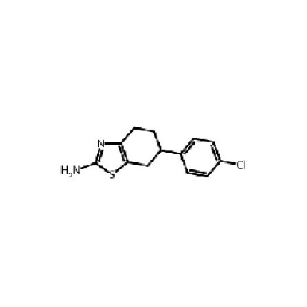 Nc1nc2c(s1)CC(c1ccc(Cl)cc1)CC2